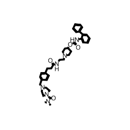 CN(C)C(=O)N1CCN(Cc2ccc(CCC(=O)NCCN3CCC(OC(=O)Nc4ccccc4-c4ccccc4)CC3)cc2)CC1